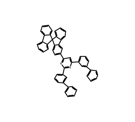 c1ccc(-c2cccc(-c3cc(-c4ccc5c(c4)-c4ccccc4C54c5ccccc5-c5ccccc54)nc(-c4cccc(-c5ccccc5)c4)n3)c2)cc1